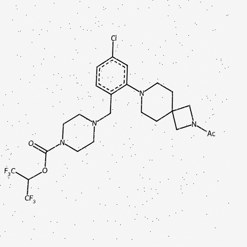 CC(=O)N1CC2(CCN(c3cc(Cl)ccc3CN3CCN(C(=O)OC(C(F)(F)F)C(F)(F)F)CC3)CC2)C1